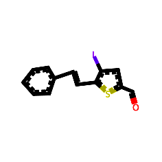 O=Cc1cc(I)c(/C=C/c2ccccc2)s1